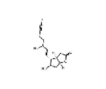 CC#CCC[C@H](O)C=C[C@@H]1[C@H]2CC(=O)O[C@H]2C[C@H]1O